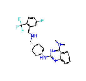 CN(C)c1nc(N[C@H]2CC[C@@H](CNCc3cc(F)ccc3C(F)(F)F)CC2)nc2ccccc12